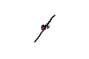 CCCCCCCCCCCCCCCCCn1ccnc1C(CCCCCCCCCCCC)C(C)(Cc1ccccc1)c1ccccc1